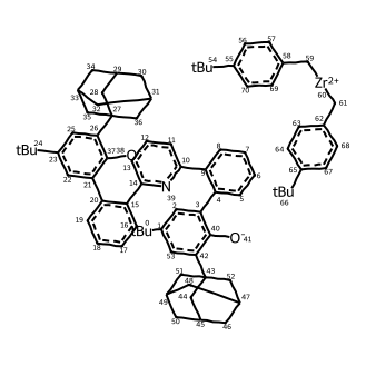 CC(C)(C)c1cc(-c2ccccc2-c2cccc(-c3ccccc3-c3cc(C(C)(C)C)cc(C45CC6CC(CC(C6)C4)C5)c3[O-])n2)c([O-])c(C23CC4CC(CC(C4)C2)C3)c1.CC(C)(C)c1ccc([CH2][Zr+2][CH2]c2ccc(C(C)(C)C)cc2)cc1